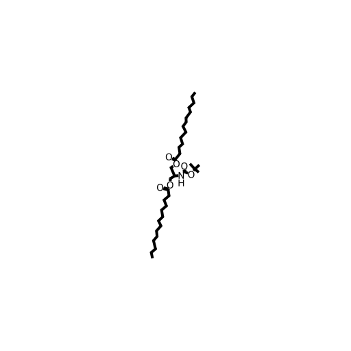 CCCCCCCCCCCCCC(=O)OCC(COC(=O)CCCCCCCCCCCCC)NC(=O)OC(C)(C)C